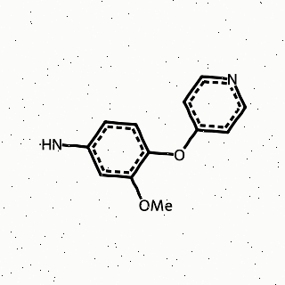 COc1cc([NH])ccc1Oc1ccncc1